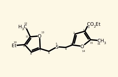 CCOC(=O)c1cc(CSCc2cc(CC)c(C)o2)oc1C